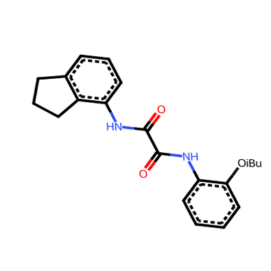 CC(C)COc1ccccc1NC(=O)C(=O)Nc1cccc2c1CCC2